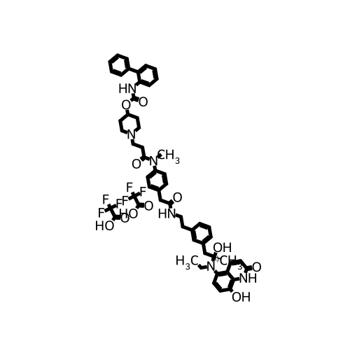 CCN(c1ccc(O)c2[nH]c(=O)ccc12)[C@](C)(O)Cc1cccc(CCNC(=O)Cc2ccc(N(C)C(=O)CCN3CCC(OC(=O)Nc4ccccc4-c4ccccc4)CC3)cc2)c1.O=C(O)C(F)(F)F.O=C(O)C(F)(F)F